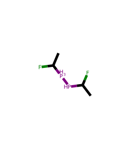 CC(F)P[PH3]C(C)F